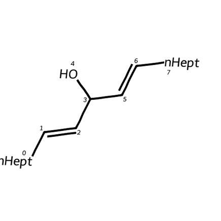 CCCCCCCC=CC(O)C=CCCCCCCC